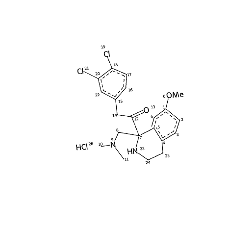 COc1ccc2c(c1)C(CN(C)C)(C(=O)Cc1ccc(Cl)c(Cl)c1)NCC2.Cl